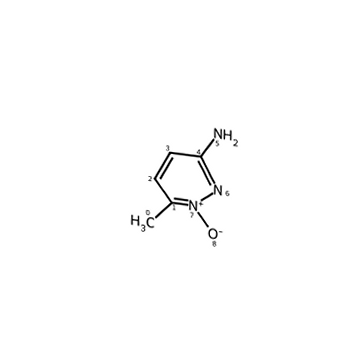 Cc1ccc(N)n[n+]1[O-]